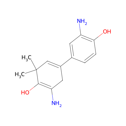 CC1(C)C=C(c2ccc(O)c(N)c2)CC(N)=C1O